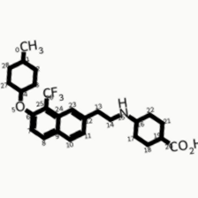 CC1CCC(Oc2ccc3ccc(CCNC4CCC(C(=O)O)CC4)cc3c2C(F)(F)F)CC1